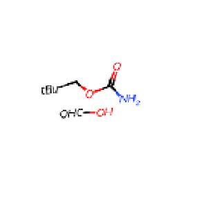 CC(C)(C)COC(N)=O.O=CO